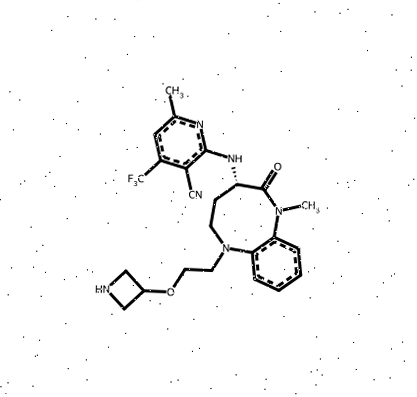 Cc1cc(C(F)(F)F)c(C#N)c(N[C@H]2CCN(CCOC3CNC3)c3ccccc3N(C)C2=O)n1